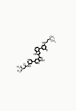 CN(C)CCNc1cc(F)cc(-c2cccc3[nH]c(-c4n[nH]c5ncc(-c6cncc(NC(=O)CN(C)C)c6)cc45)cc23)c1